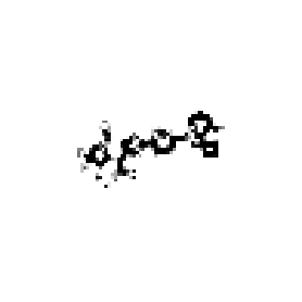 NC(=O)C(c1cnc(-c2ccc(NCC3(c4ncccc4F)CCC3)nn2)s1)[C@@H]1CC(F)(F)CN1C=O